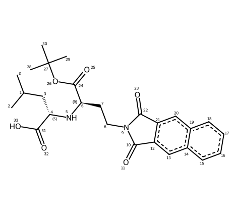 CC(C)C[C@H](N[C@H](CCN1C(=O)c2cc3ccccc3cc2C1=O)C(=O)OC(C)(C)C)C(=O)O